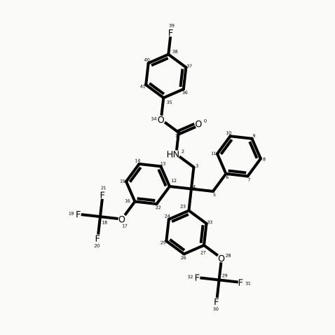 O=C(NCC(Cc1ccccc1)(c1cccc(OC(F)(F)F)c1)c1cccc(OC(F)(F)F)c1)Oc1ccc(F)cc1